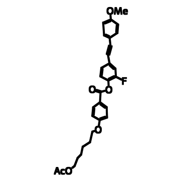 COc1ccc(C#Cc2ccc(OC(=O)c3ccc(OCCCCCCOC(C)=O)cc3)c(F)c2)cc1